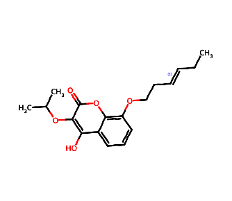 CC/C=C/CCOc1cccc2c(O)c(OC(C)C)c(=O)oc12